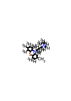 [2H]c1c([2H])c([2H])c2c(c1[2H])Sc1c([2H])c([2H])c(C)c([2H])c1N2C([2H])([2H])C([2H])([2H])C([2H])([2H])N(C([2H])([2H])[2H])C([2H])([2H])[2H]